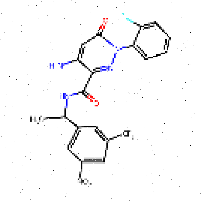 CC(NC(=O)c1nn(-c2ccccc2F)c(=O)cc1N)c1cc([N+](=O)[O-])cc(C(F)(F)F)c1